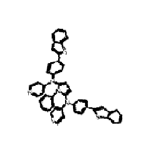 c1ccc(-n2c(N(c3ccncc3)c3ccc(-c4cc5ccccc5s4)cc3)ccc2N(c2ccncc2)c2ccc(-c3cc4ccccc4s3)cc2)cc1